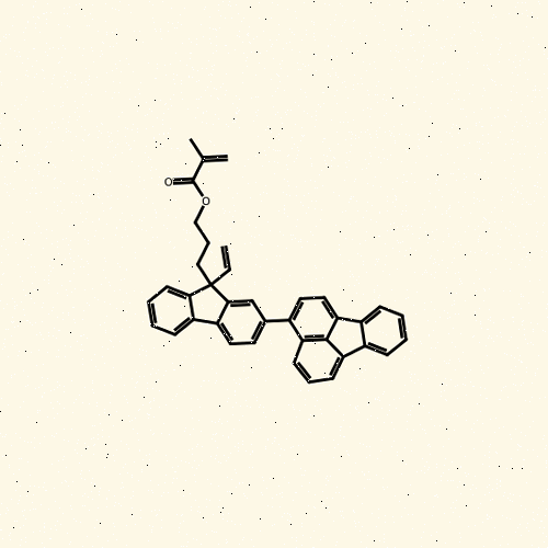 C=CC1(CCCOC(=O)C(=C)C)c2ccccc2-c2ccc(-c3ccc4c5c(cccc35)-c3ccccc3-4)cc21